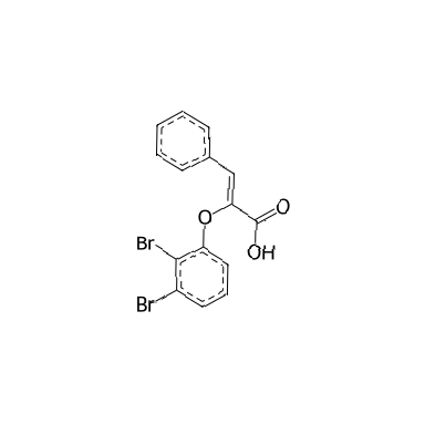 O=C(O)C(=Cc1ccccc1)Oc1cccc(Br)c1Br